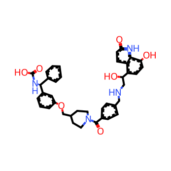 O=C(O)N[C@@H](c1ccccc1)c1cccc(OCC2CCN(C(=O)c3ccc(CNCC(O)c4ccc(O)c5[nH]c(=O)ccc45)cc3)CC2)c1